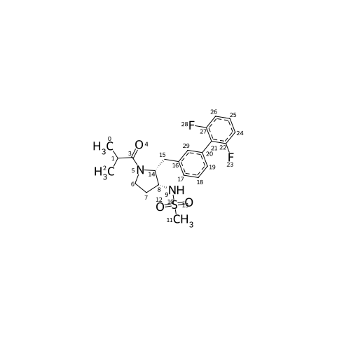 CC(C)C(=O)N1CC[C@@H](NS(C)(=O)=O)[C@H]1Cc1cccc(-c2c(F)cccc2F)c1